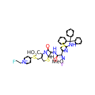 CO/N=C(\C(=O)N[C@@H]1C(=O)N2C(C(=O)O)=C(CSc3cc[n+](CCF)cc3)CS[C@H]12)c1csc(NC(c2ccccc2)(c2ccccc2)c2ccccc2)n1.[I-]